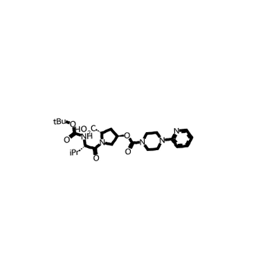 CC(C)[C@H](NC(=O)OC(C)(C)C)C(=O)N1C[C@H](OC(=O)N2CCN(c3ccccn3)CC2)C[C@H]1C(=O)O